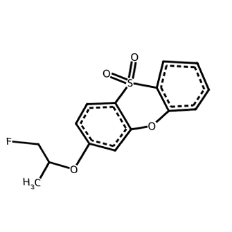 CC(CF)Oc1ccc2c(c1)Oc1ccccc1S2(=O)=O